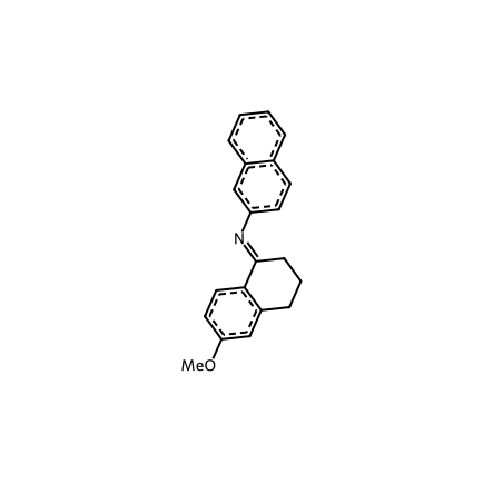 COc1ccc2c(c1)CCC/C2=N\c1ccc2ccccc2c1